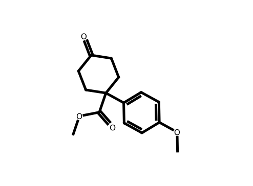 COC(=O)C1(c2ccc(OC)cc2)CCC(=O)CC1